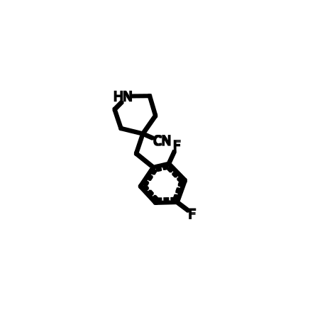 N#CC1(Cc2ccc(F)cc2F)CCNCC1